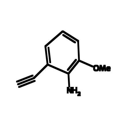 C#Cc1cccc(OC)c1N